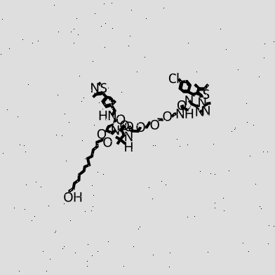 Cc1ncsc1-c1ccc(CNC(=O)[C@@H]2C[C@@H](OC(=O)CCCCCCCCCCCCCO)CN2C(=O)[C@@H](NC(=O)COCCOCCOCCNC(=O)C[C@@H]2N=C(c3ccc(Cl)cc3)c3c(sc(C)c3C)-n3c(C)nnc32)C(C)(C)C)cc1